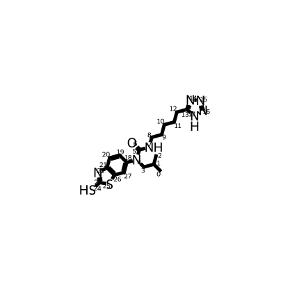 CC(C)CN(C(=O)NCCCCCc1nnn[nH]1)c1ccc2nc(S)sc2c1